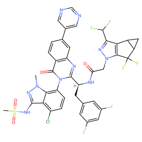 Cn1nc(NS(C)(=O)=O)c2c(Cl)ccc(-n3c([C@H](Cc4cc(F)cc(F)c4)NC(=O)Cn4nc(C(F)F)c5c4C(F)(F)C4CC54)nc4cc(-c5cncnc5)ccc4c3=O)c21